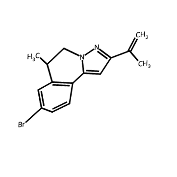 C=C(C)c1cc2n(n1)CC(C)c1cc(Br)ccc1-2